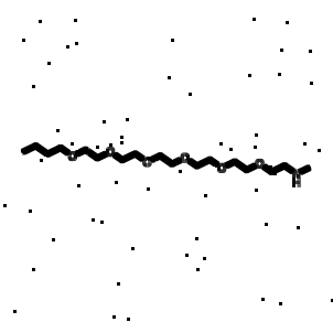 CCCCOCCOCCOCCOCCOCCOCCNC